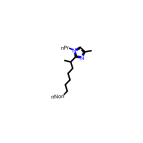 CCCCCCCCCCCCCCC(C)c1nc(C)cn1CCC